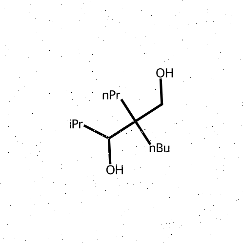 CCCCC(CO)(CCC)C(O)C(C)C